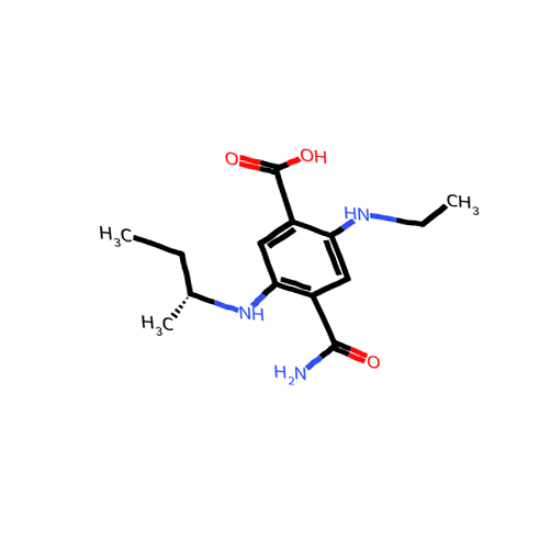 CCNc1cc(C(N)=O)c(N[C@H](C)CC)cc1C(=O)O